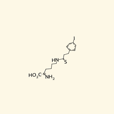 N[C@@H](CCCCNC(=S)CCc1ccc(I)cc1)C(=O)O